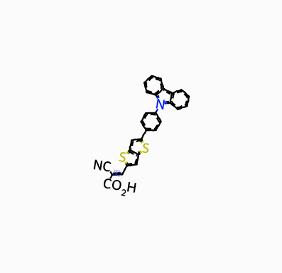 N#C/C(=C\c1cc2sc(-c3ccc(-n4c5ccccc5c5ccccc54)cc3)cc2s1)C(=O)O